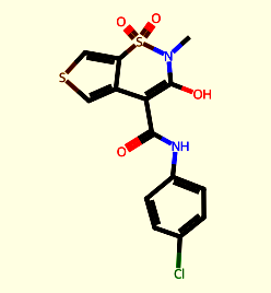 CN1C(O)=C(C(=O)Nc2ccc(Cl)cc2)c2cscc2S1(=O)=O